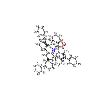 c1ccc(-c2ccc(-c3ccc4c(c3)c3c(N(c5ccc(-c6ccccc6)cc5)c5ccccc5-c5ccccc5)c5c(cc3n4-c3ccccc3)oc3ccccc35)cc2)cc1